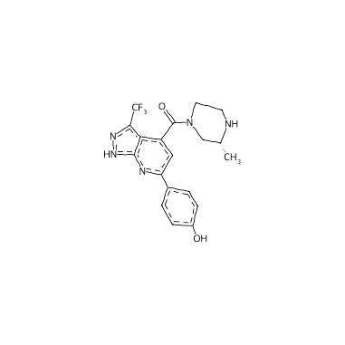 C[C@@H]1CN(C(=O)c2cc(-c3ccc(O)cc3)nc3[nH]nc(C(F)(F)F)c23)CCN1